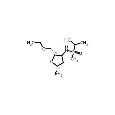 B[C@H]1CC(NP(C)(=O)C(C)C)[C@@H](COCC)O1